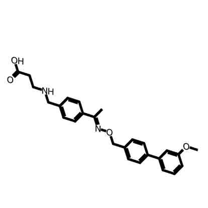 COc1cccc(-c2ccc(CO/N=C(\C)c3ccc(CNCCC(=O)O)cc3)cc2)c1